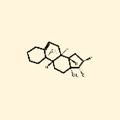 C[C@]12CC[C@H]3[C@@H](CC=C4CCCC[C@@]43C)[C@@H]1C[C@@H](F)[C@@H]2O